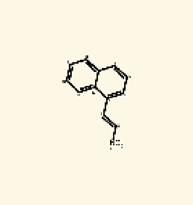 O=[N+]([O-])/C=C/c1cccc2ccccc12